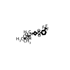 CN(CC(=O)NC(C)(C)C)C1CC(S(=O)(=O)c2cccc(C(F)(F)F)c2)C1